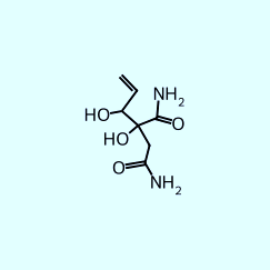 C=CC(O)C(O)(CC(N)=O)C(N)=O